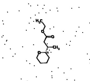 CCOC(=O)CC(C)[C@@H]1CCCCO1